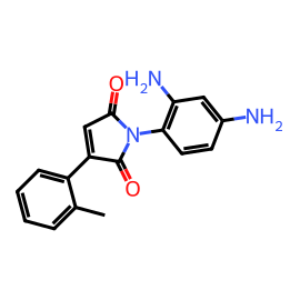 Cc1ccccc1C1=CC(=O)N(c2ccc(N)cc2N)C1=O